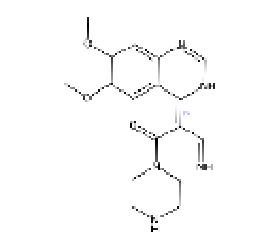 COc1cc2c(cc1OC)/C(=C(/C=N)C(=O)N1CCNCC1)NC=N2